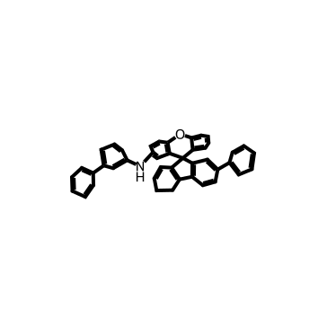 C1=CC2=C(CC1)c1ccc(-c3ccccc3)cc1C21c2ccccc2Oc2ccc(Nc3cccc(-c4ccccc4)c3)cc21